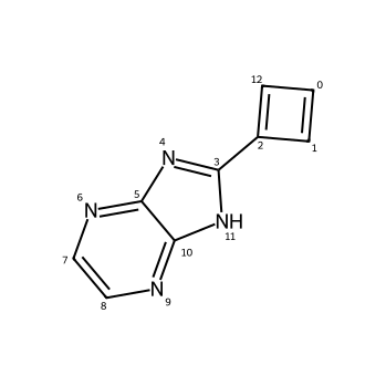 C1=CC(c2nc3nccnc3[nH]2)=C1